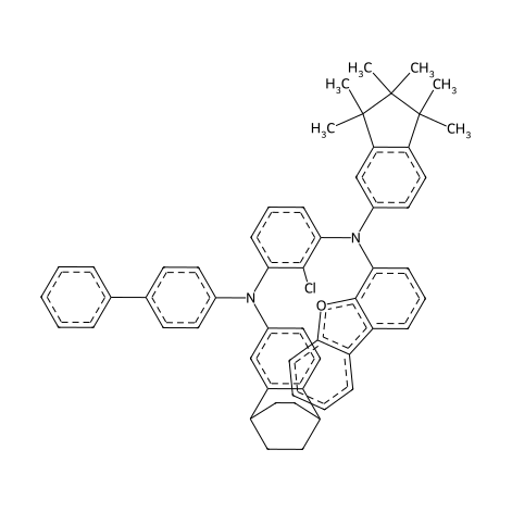 CC1(C)c2ccc(N(c3cccc(N(c4ccc(-c5ccccc5)cc4)c4ccc5c(c4)C4CCC5CC4)c3Cl)c3cccc4c3oc3ccccc34)cc2C(C)(C)C1(C)C